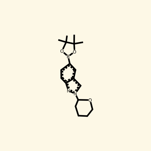 CC1(C)OB(c2ccc3nn(C4CCCCO4)cc3c2)OC1(C)C